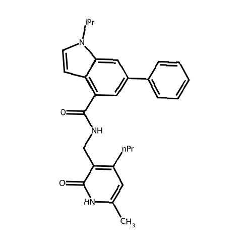 CCCc1cc(C)[nH]c(=O)c1CNC(=O)c1cc(-c2ccccc2)cc2c1ccn2C(C)C